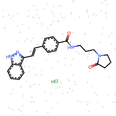 Cl.O=C(NCCCN1CCCC1=O)c1ccc(/C=C/c2n[nH]c3ccccc23)cc1